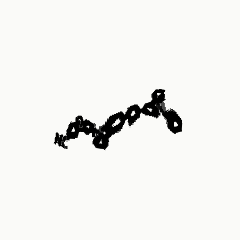 N#Cc1ccc2oc3ccc(-n4c5ccccc5c5cc(-c6ccc(-c7ccc8c(c7)c7ccccc7n8-c7ccccc7)cc6)ccc54)cc3c2c1